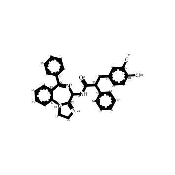 O=C(NC1N=C(c2ccccc2)c2ccccc2N2CCN=C12)C(Cc1ccc(Cl)c(Cl)c1)c1ccccc1